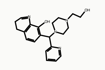 OCCN1CCN(C(c2ccccn2)c2ccc3c(c2O)N=CCC3)CC1